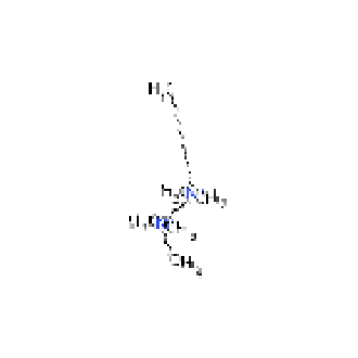 CCCCCCCCCCCCCCCC[N+](C)(C)CCCCCC[N+](C)(C)CCCCCC